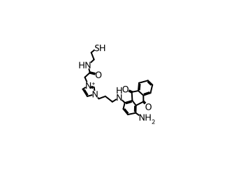 Nc1ccc(NCCCn2cc[n+](CC(=O)NCCS)c2)c2c1C(=O)c1ccccc1C2=O